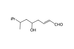 CC(C)C(C)CC(O)CC=CC=O